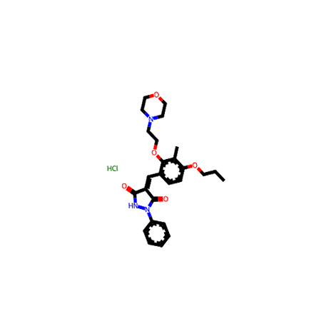 CCCOc1ccc(C=C2C(=O)NN(c3ccccc3)C2=O)c(OCCN2CCOCC2)c1C.Cl